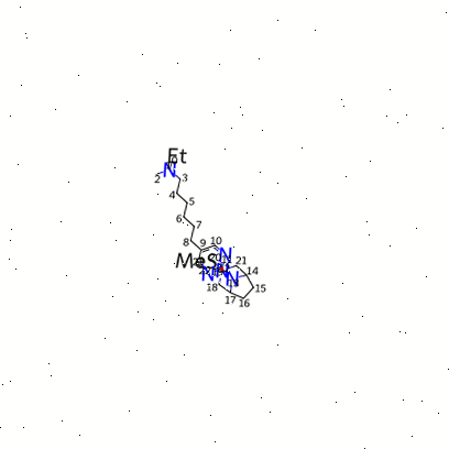 CCN(C)CCCCCCc1cnc(N2C3CCC2CN(SC)C3)nc1